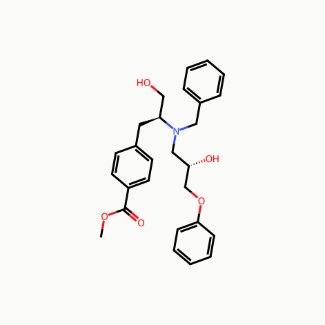 COC(=O)c1ccc(C[C@@H](CO)N(Cc2ccccc2)C[C@H](O)COc2ccccc2)cc1